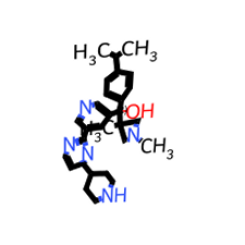 CC(C)c1ccc([C@](O)(c2cncc(-c3nccc(C4CCNCC4)n3)c2)C2(C)CN(C)C2)cc1